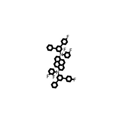 Fc1ccc(-c2cc(-c3ccccc3)cc(N(c3cccc(F)c3F)c3ccc4ccc5c(N(c6cc(-c7ccccc7)cc(-c7ccc(F)cc7)c6)c6cccc(F)c6F)ccc6ccc3c4c65)c2)cc1